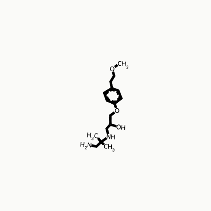 COCCc1ccc(OCC(O)CNC(C)(C)CN)cc1